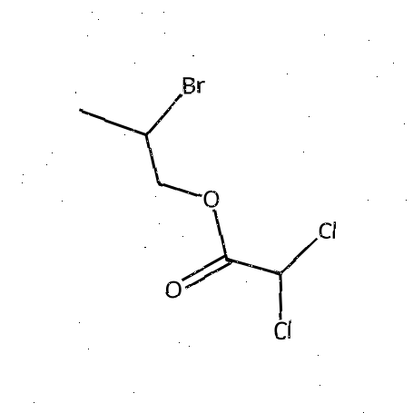 CC(Br)COC(=O)C(Cl)Cl